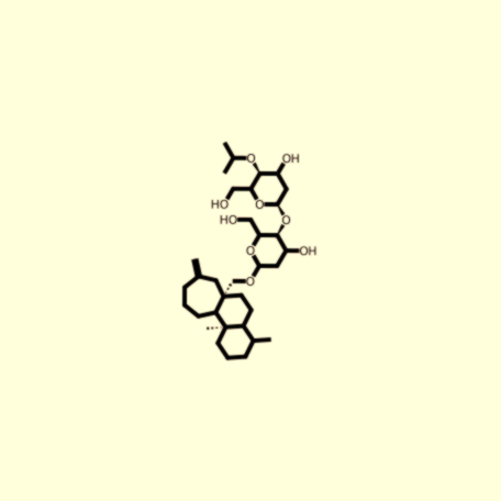 C=C1CCCC2[C@](COC3CC(O)[C@H](O[C@@H]4CC(O)[C@H](OC(C)C)C(CO)O4)C(CO)O3)(CCC3C(C)CCC[C@]32C)C1